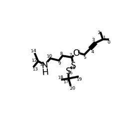 CC(C)C#CCOC(CCCNC(C)C)SSC(C)(C)C